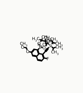 COCOc1cc(B2OCC(C)(C)C(C)(C)O2)c2c(C#C[Si](C(C)C)(C(C)C)C(C)C)c(F)ccc2c1